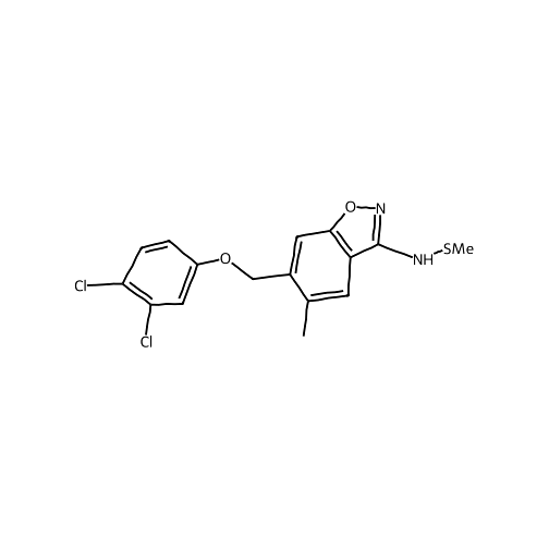 CSNc1noc2cc(COc3ccc(Cl)c(Cl)c3)c(C)cc12